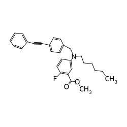 CCCCCCN(Cc1ccc(C#Cc2ccccc2)cc1)c1ccc(F)c(C(=O)OC)c1